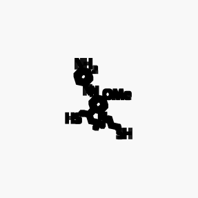 COc1cc2c(cc1/N=N/c1ccc(N)cc1)C(CS)CC(C)(C)N2CCCS